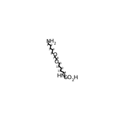 NCCCCCOCCOCCCCCNC(=O)O